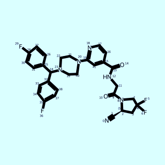 N#C[C@@H]1CC(F)(F)CN1C(=O)CNC(=O)c1ccnc(N2CCN(C(c3ccc(F)cc3)c3ccc(F)cc3)CC2)c1